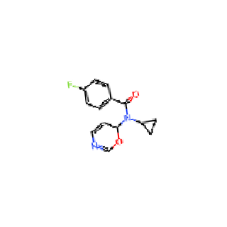 O=C(c1ccc(F)cc1)N(C1CC1)C1C=CN=CO1